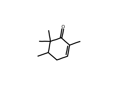 CC1=CCC(C)C(C)(C)C1=O